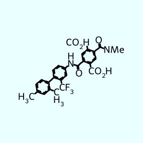 CNC(=O)c1cc(C(=O)O)c(C(=O)Nc2ccc(-c3ccc(C)cc3C)c(C(F)(F)F)c2)cc1C(=O)O